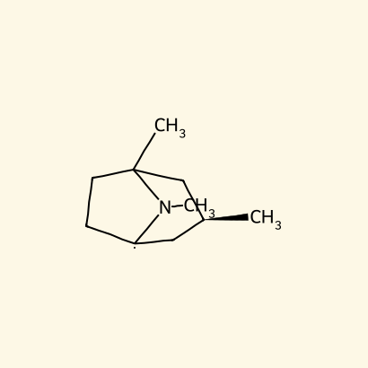 C[C@H]1C[C]2CCC(C)(C1)N2C